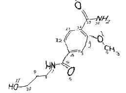 COc1cc(C(=O)NCCCO)ccc1C(N)=O